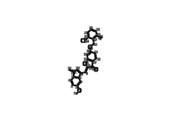 COc1ccc2c(c1)c(/C=C1\Oc3cc(OCc4c(F)cccc4Cl)ccc3C1=O)cn2C